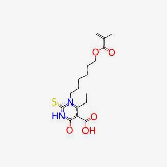 C=C(C)C(=O)OCCCCCCn1c(CC)c(C(=O)O)c(=O)[nH]c1=S